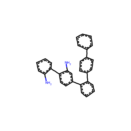 Nc1ccccc1-c1ccc(-c2ccccc2-c2ccc(-c3ccccc3)cc2)cc1N